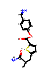 CC(Cc1ccc(C(=O)Oc2ccc(C=N)cc2)s1)C(N)=O